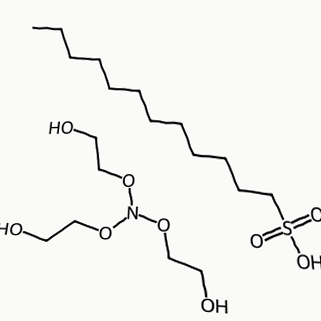 CCCCCCCCCCCCS(=O)(=O)O.OCCON(OCCO)OCCO